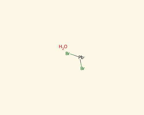 O.[Br][Pb][Br]